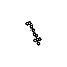 c1ccc(-c2c3ccccc3c(-c3ccc4cc(-c5ccc6c(c5)sc5cc7c(cc56)sc5ccc6ccccc6c57)ccc4c3)c3ccccc23)cc1